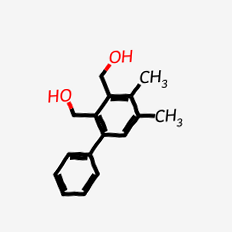 Cc1cc(-c2ccccc2)c(CO)c(CO)c1C